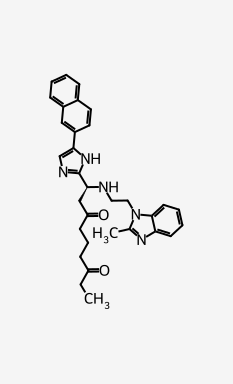 CCC(=O)CCCC(=O)C[C@H](NCCn1c(C)nc2ccccc21)c1ncc(-c2ccc3ccccc3c2)[nH]1